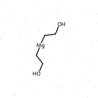 OC[CH2][Mg][CH2]CO